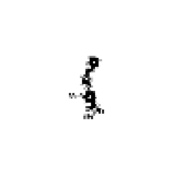 CCCN1C(=O)OC(c2ccc(OCc3coc(CCc4ccccc4)n3)c(OC)c2)C1=O